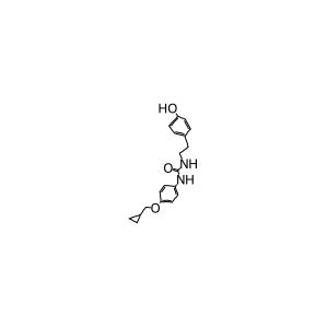 O=C(NCCc1ccc(O)cc1)Nc1ccc(OCC2CC2)cc1